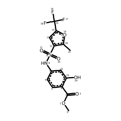 COC(=O)c1ccc(NS(=O)(=O)c2cc(C(F)(F)F)oc2C)cc1O